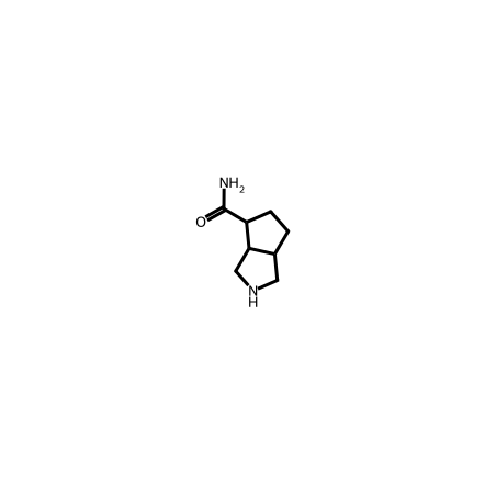 NC(=O)C1CCC2CNCC21